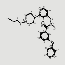 CCCCN1CCC(c2cc(CN(C)C(=O)c3cccc(Oc4ccccc4)c3)ccn2)CC1